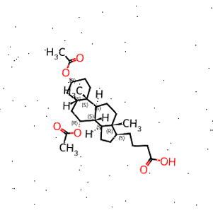 CC(=O)O[C@@H]1CC[C@@]2(C)[C@@H](C1)C[C@@H](OC(C)=O)[C@@H]1[C@@H]2CC[C@]2(C)[C@@H](CCCC(=O)O)CC[C@@H]12